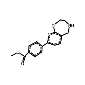 COC(=O)c1ccc(-c2ccc3c(n2)OCCNC3)cc1